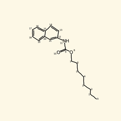 CCCCCCCCOC(=O)Nc1ccc2ccccc2c1